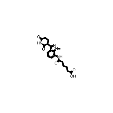 Cn1nc(C2CCC(=O)NC2=O)c2cccc(NC(=O)CCCCC(=O)O)c21